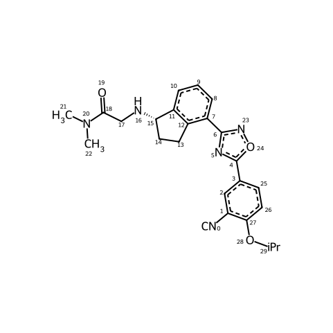 [C-]#[N+]c1cc(-c2nc(-c3cccc4c3CC[C@@H]4NCC(=O)N(C)C)no2)ccc1OC(C)C